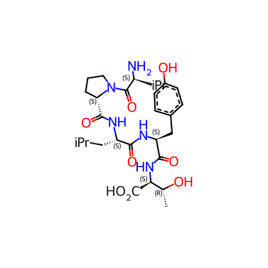 CC(C)C[C@H](NC(=O)[C@@H]1CCCN1C(=O)[C@@H](N)C(C)C)C(=O)N[C@@H](Cc1ccc(O)cc1)C(=O)N[C@H](C(=O)O)[C@@H](C)O